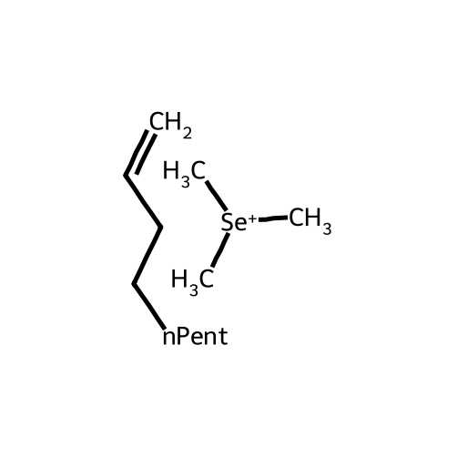 C=CCCCCCCC.C[Se+](C)C